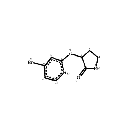 O=C1NCCC1Oc1cc(Br)ccn1